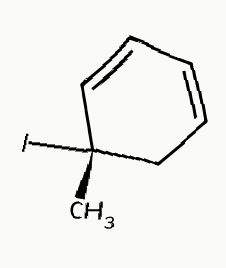 C[C@@]1(I)C=CC=CC1